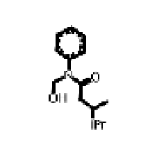 CC(C)C(C)CC(=O)N(CO)c1ccccc1